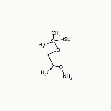 C[C@@H](CO[Si](C)(C)C(C)(C)C)ON